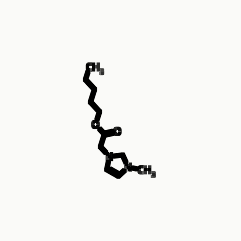 CCCCCOC(=O)CN1C=CN(C)C1